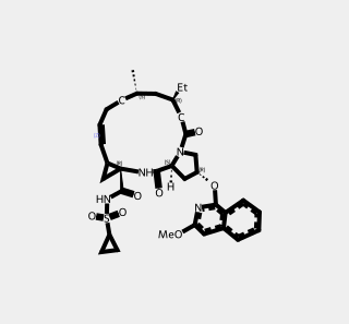 CC[C@H]1CC(=O)N2C[C@H](Oc3nc(OC)cc4ccccc34)C[C@H]2C(=O)N[C@]2(C(=O)NS(=O)(=O)C3CC3)CC2/C=C\CC[C@H](C)C1